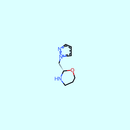 c1cnn(C[C@H]2NCCCO2)c1